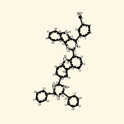 N#Cc1cccc(-c2nc(-c3cccc4c3oc3ccc(-c5nc(-c6ccccc6)nc(-c6ccccc6)n5)cc34)nc3c2sc2ccccc23)c1